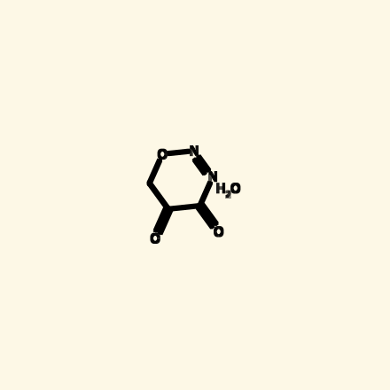 O.O=C1CON=NC1=O